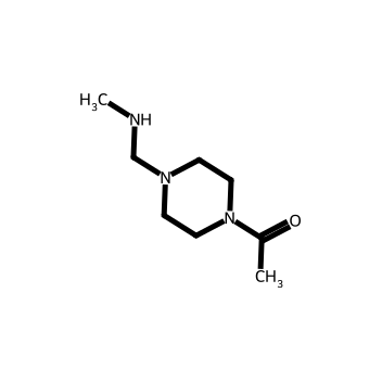 CNCN1CCN(C(C)=O)CC1